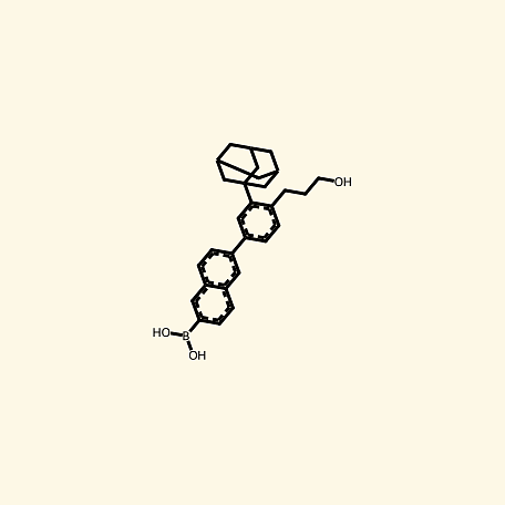 OCCCc1ccc(-c2ccc3cc(B(O)O)ccc3c2)cc1C12CC3CC(CC(C3)C1)C2